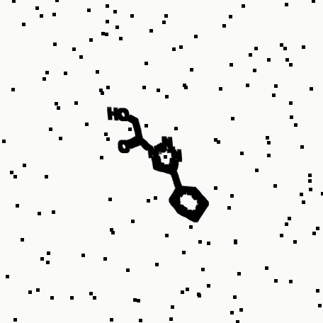 O=C(CO)n1cc(-c2ccccc2)nn1